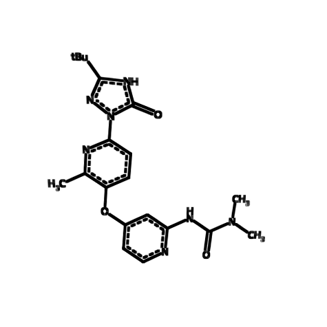 Cc1nc(-n2nc(C(C)(C)C)[nH]c2=O)ccc1Oc1ccnc(NC(=O)N(C)C)c1